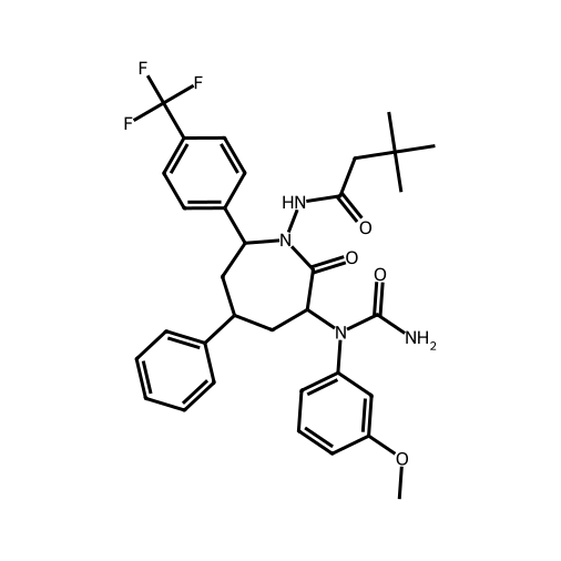 COc1cccc(N(C(N)=O)C2CC(c3ccccc3)CC(c3ccc(C(F)(F)F)cc3)N(NC(=O)CC(C)(C)C)C2=O)c1